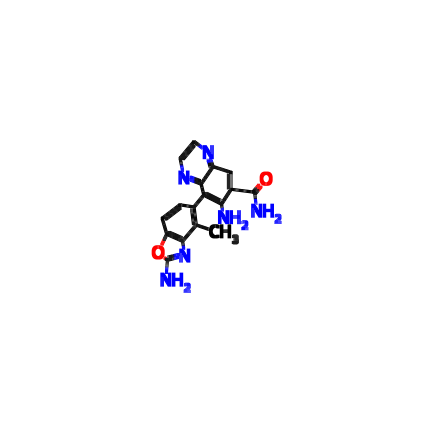 Cc1c(-c2c(N)c(C(N)=O)cc3nccnc23)ccc2oc(N)nc12